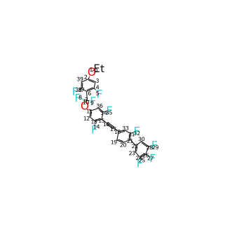 CCOc1cc(F)c(C(F)(F)Oc2cc(F)c(C#Cc3ccc(-c4cc(F)c(F)c(F)c4)c(F)c3)c(F)c2)c(F)c1